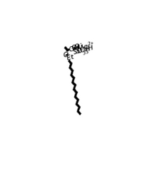 CCCCCCCCCCCCCCCC.CCOC(C)O.O=S(=O)([O-])O.O=S(=O)([O-])O.[Mg+2]